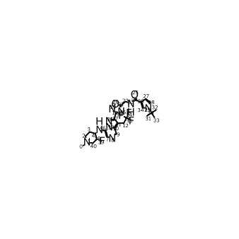 CN1CC[C@@H](Nc2cncc3c(CC(F)(F)F)c(-c4noc(CNC(=O)c5ccn(C(C)(C)C)c5)n4)nn23)[C@@H](F)C1